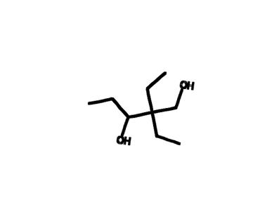 CCC(O)C(CC)(CC)CO